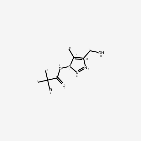 CCC(C)(C)C(=O)On1nnc(CO)c1C